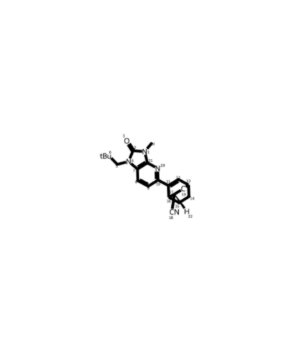 Cn1c(=O)n(CC(C)(C)C)c2ccc(C3=CC4CCC3[C@@H](C#N)C4)nc21